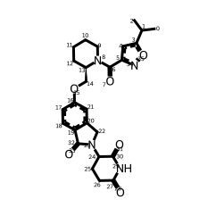 CC(C)c1cc(C(=O)N2CCCC[C@@H]2COc2ccc3c(c2)CN(C2CCC(=O)NC2=O)C3=O)no1